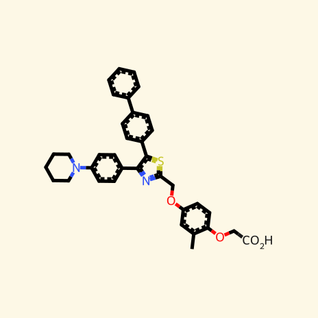 Cc1cc(OCc2nc(-c3ccc(N4CCCCC4)cc3)c(-c3ccc(-c4ccccc4)cc3)s2)ccc1OCC(=O)O